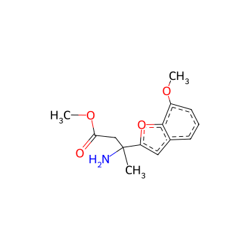 COC(=O)CC(C)(N)c1cc2cccc(OC)c2o1